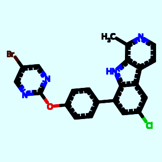 Cc1nccc2c1[nH]c1c(-c3ccc(Oc4ncc(Br)cn4)cc3)cc(Cl)cc12